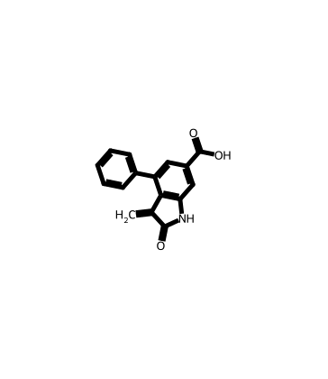 C=C1C(=O)Nc2cc(C(=O)O)cc(-c3ccccc3)c21